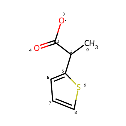 CC(C([O])=O)c1cccs1